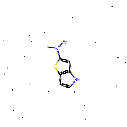 CC(=O)N(C)c1cc2[nH]ccc2s1